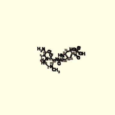 CN1CC[C@H]2CC[C@@H](C(N)=O)N2C(=O)[C@@H](NC(=O)c2cc3cc(C(=O)P(=O)(O)O)ccc3[nH]2)C1